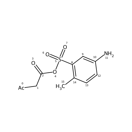 CC(=O)CC(=O)OS(=O)(=O)c1cc(N)ccc1C